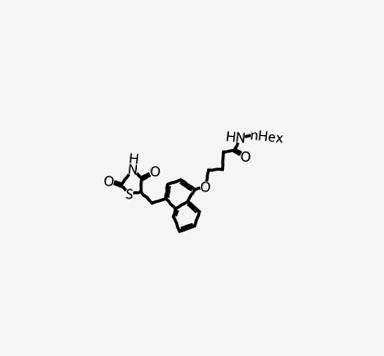 CCCCCCNC(=O)CCCOc1ccc(CC2SC(=O)NC2=O)c2ccccc12